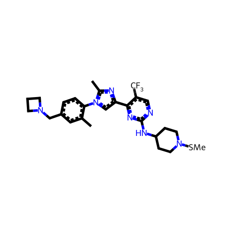 CSN1CCC(Nc2ncc(C(F)(F)F)c(-c3cn(-c4ccc(CN5CCC5)cc4C)c(C)n3)n2)CC1